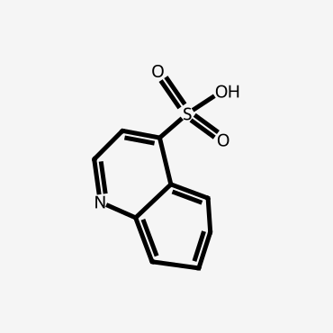 O=S(=O)(O)c1ccnc2ccccc12